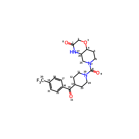 O=C1COC2CCN(C(=O)N3CCC(C(=O)c4ccc(C(F)(F)F)cc4)CC3)CC2N1